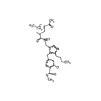 CCCCc1ncc(CNC(=O)C(CSC(C)=O)CC(C)C)n1Cc1ccc(C(=O)OC)c(Cl)c1